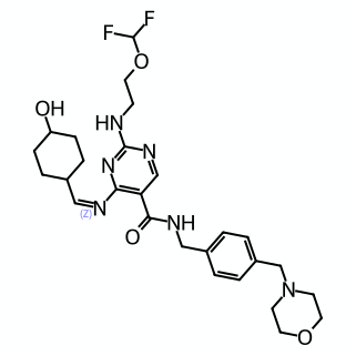 O=C(NCc1ccc(CN2CCOCC2)cc1)c1cnc(NCCOC(F)F)nc1/N=C\C1CCC(O)CC1